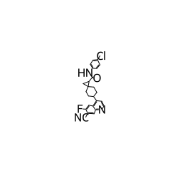 N#Cc1cc2nccc(C3CCC4(CC3)CC4C(=O)Nc3ccc(Cl)cc3)c2cc1F